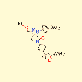 CCOOCc1nn(-c2ccc(OC)cc2)c2c1CCN(c1ccc(C3(CC(=O)NC)CC3)cc1)C2=O